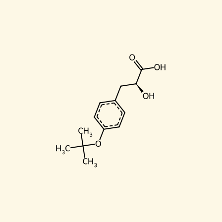 CC(C)(C)Oc1ccc(C[C@H](O)C(=O)O)cc1